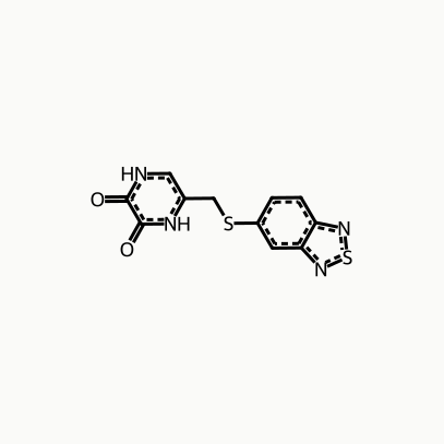 O=c1[nH]cc(CSc2ccc3nsnc3c2)[nH]c1=O